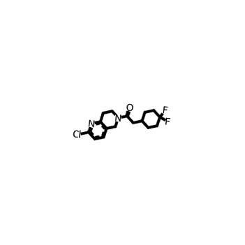 O=C(CC1CCC(F)(F)CC1)N1CCc2nc(Cl)ccc2C1